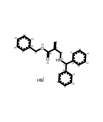 Br.C=C(CNC(c1ccccc1)c1ccccc1)C(=O)OCc1ccccc1